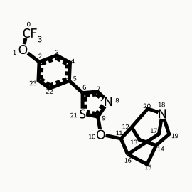 FC(F)(F)Oc1ccc(-c2cnc(OC3C4CC5CC3CN(C5)C4)s2)cc1